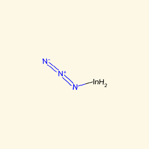 [N-]=[N+]=[N][InH2]